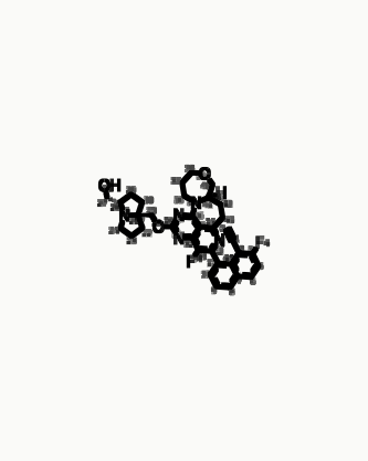 C#Cc1c(F)ccc2cccc(-c3nc4c5c(nc(OC[C@@]67CCCN6[C@H](CO)CC7)nc5c3F)N3CCCOC[C@@H]3CC4)c12